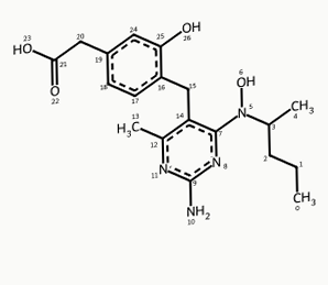 CCCC(C)N(O)c1nc(N)nc(C)c1Cc1ccc(CC(=O)O)cc1O